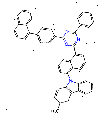 CC1C=Cc2c(c3ccccc3n2-c2cccc3c(-c4nc(-c5ccccc5)nc(-c5ccc(-c6cccc7ccccc67)cc5)n4)cccc23)C1